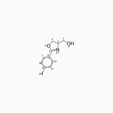 OCC1COC(c2ccc(I)cc2)=N1